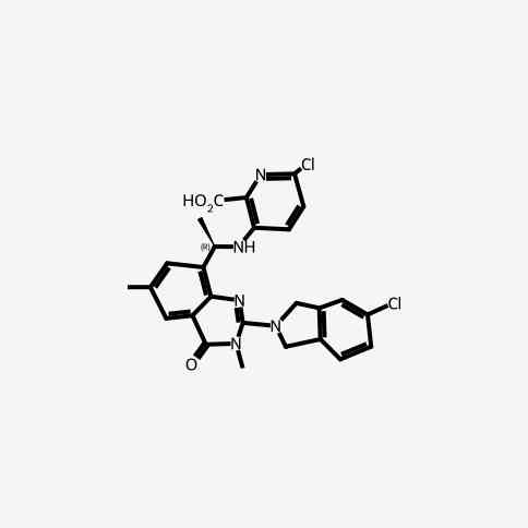 Cc1cc([C@@H](C)Nc2ccc(Cl)nc2C(=O)O)c2nc(N3Cc4ccc(Cl)cc4C3)n(C)c(=O)c2c1